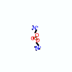 C[N+](C)(C)CCOS(=O)OCC[N+](C)(C)C